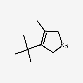 CC1=C(C(C)(C)C)CNC1